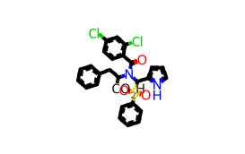 O=C(O)C(Cc1ccccc1)N(C(=O)c1ccc(Cl)cc1Cl)C(c1ccc[nH]1)S(=O)(=O)c1ccccc1